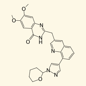 COc1cc2nc(Cc3cnc4c(-c5cnn(C6CCCCO6)c5)cccc4c3)[nH]c(=O)c2cc1OC